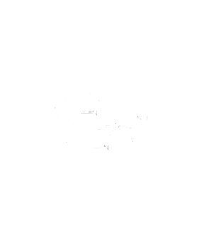 NC(N)=O.c1ccc2scnc2c1.c1ccc2scnc2c1